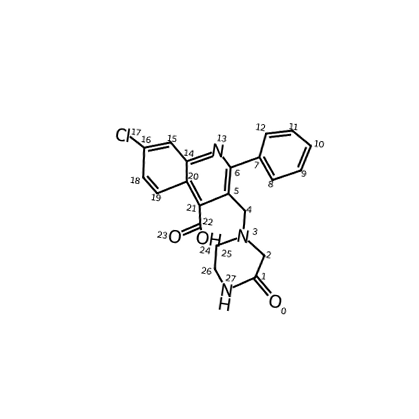 O=C1CN(Cc2c(-c3ccccc3)nc3cc(Cl)ccc3c2C(=O)O)CCN1